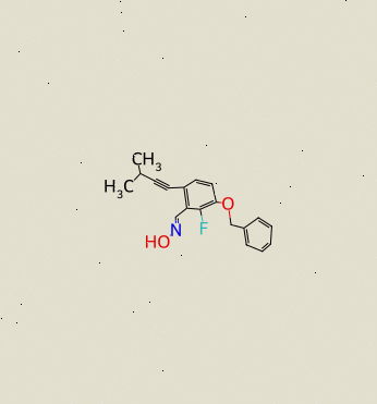 CC(C)C#Cc1ccc(OCc2ccccc2)c(F)c1C=NO